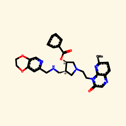 COc1ccc2ncc(=O)n(CCN3C[C@H](CNCc4cc5c(cn4)OCCO5)[C@H](OC(=O)c4ccccc4)C3)c2n1